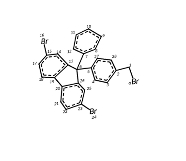 BrCc1ccc(C2(c3ccccc3)c3cc(Br)ccc3-c3ccc(Br)cc32)cc1